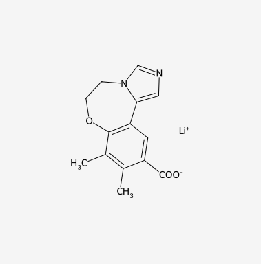 Cc1c(C(=O)[O-])cc2c(c1C)OCCn1cncc1-2.[Li+]